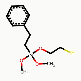 CO[Si](CCc1ccccc1)(OC)OCCS